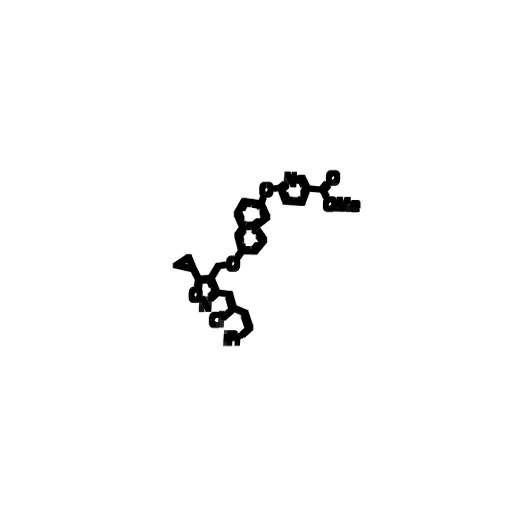 COC(=O)c1ccc(Oc2ccc3cc(OCc4c(/C=C(Cl)/C=C\C(C)C)noc4C4CC4)ccc3c2)nc1